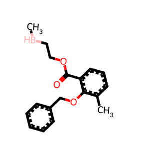 CBCCOC(=O)c1cccc(C)c1OCc1ccccc1